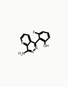 Nc1nnc(-c2c(O)cccc2F)c2cccnc12